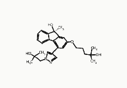 CC(C)(O)CCCOc1cc(-c2cnn(CC(C)(C)O)c2)c2c(c1)[C@@](O)(C(F)(F)F)c1ccccc1-2